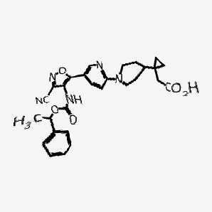 CC(OC(=O)Nc1c(C#N)noc1-c1ccc(N2CCC(C3(CC(=O)O)CC3)CC2)nc1)c1ccccc1